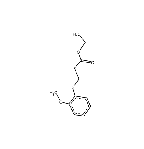 CCOC(=O)CCSc1ccccc1OC